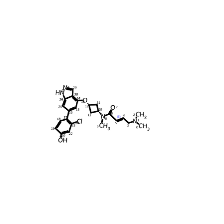 CN(C)C/C=C/C(=O)N(C)[C@H]1C[C@H](Oc2cc(-c3ccc(O)cc3Cl)cc3[nH]ncc23)C1